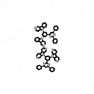 c1ccc(-c2cc(-c3cc(-n4c5ccccc5c5cnccc54)cc(-n4c5ccccc5c5c[n+](-c6cc7c8ccncc8n(-c8cc(-c9nc(-c%10ccccc%10)cc(-c%10ccccc%10)n9)cc(-n9c%10cnccc%10c%10ccncc%109)c8)c7cn6)ccc54)c3)nc(-c3ccccc3)n2)cc1